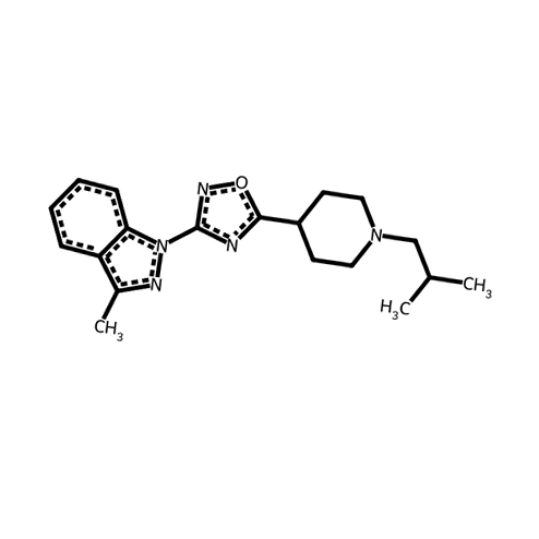 Cc1nn(-c2noc(C3CCN(CC(C)C)CC3)n2)c2ccccc12